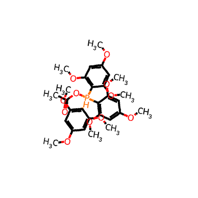 COc1cc(OC)c([PH](OC(C)=O)(c2c(OC)cc(OC)cc2OC)c2c(OC)cc(OC)cc2OC)c(OC)c1